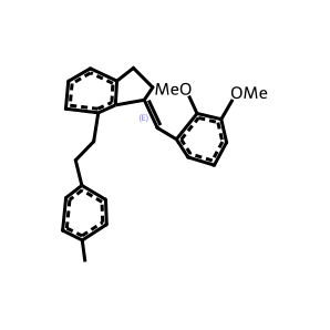 COc1cccc(/C=C2\CCc3cccc(CCc4ccc(C)cc4)c32)c1OC